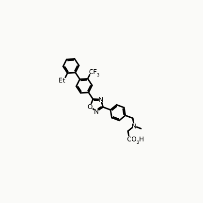 CCc1ccccc1-c1ccc(-c2nc(-c3ccc(CN(C)CC(=O)O)cc3)no2)cc1C(F)(F)F